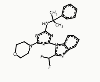 CC(C)(Nc1nc(N2CCOCC2)nc(-n2c(C(F)F)nc3ccccc32)n1)c1ccccc1